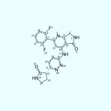 O=C1NCc2nc(-c3c(F)cccc3F)cc(Nc3ccc([C@@H]4CCNC4=O)nn3)c21